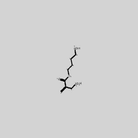 C=C(CS(=O)(=O)O)C(=O)OCCCCCCCCCCCC